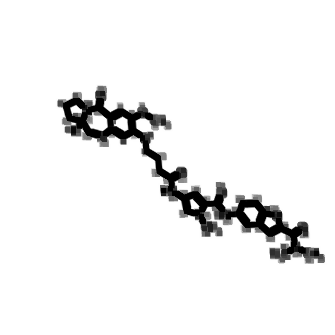 COc1cc2c(cc1OCCCC(=O)Nc1cc(C(=O)Nc3ccc4oc(C(=O)N(C)C)cc4c3)n(C)c1)N=C[C@@H]1CCCN1C2=O